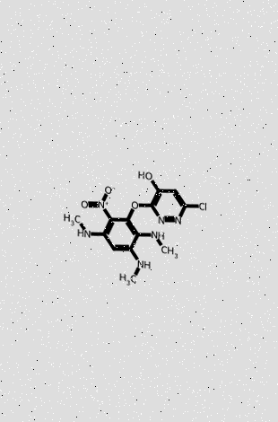 CNc1cc(NC)c([N+](=O)[O-])c(Oc2nnc(Cl)cc2O)c1NC